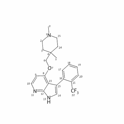 CN1CCC(C)(COc2ccnc3[nH]cc(-c4ccccc4C(F)(F)F)c23)CC1